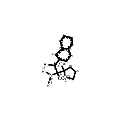 CCC(c1ccc2ccccc2c1)C(C(=O)O)(N(CC)CC)C1(C)CCCO1